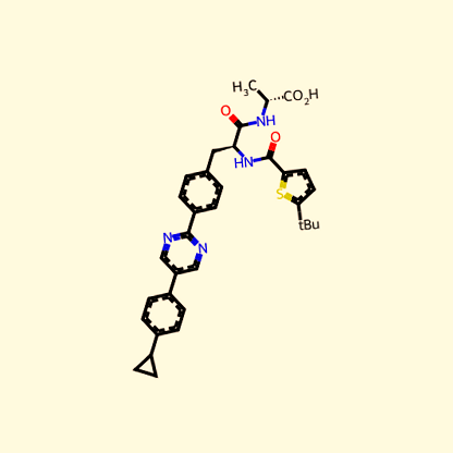 C[C@@H](NC(=O)[C@H](Cc1ccc(-c2ncc(-c3ccc(C4CC4)cc3)cn2)cc1)NC(=O)c1ccc(C(C)(C)C)s1)C(=O)O